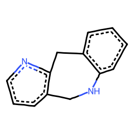 c1ccc2c(c1)Cc1ncccc1CN2